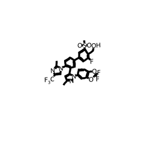 Cc1cc(-c2cc(-c3cc(F)c(CO)c(S(C)(=O)=O)c3)ccc2-n2cc(C(F)(F)F)nc2C)n(-c2ccc3c(c2)OC(F)(F)O3)n1